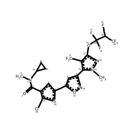 CN(C(=O)c1cc(-c2cc(-c3c(C(F)(F)F)c(OC(F)(F)C(F)C(F)(F)F)nn3C)no2)sc1Cl)C1CC1